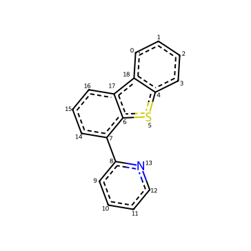 [c]1cccc2sc3c(-c4ccccn4)cccc3c12